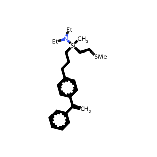 C=C(c1ccccc1)c1ccc(CCC[Si](C)(CCSC)N(CC)CC)cc1